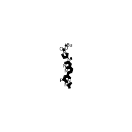 Cc1cn2cc(-c3ccc4cc(N(C)[C@@H]5CCN(C(=O)OC(C)(C)C)C5)cnc4n3)cc(F)c2n1